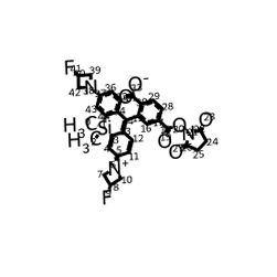 C[Si]1(C)C2=CC(=[N+]3CC(F)C3)C=CC2=C(c2cc(C(=O)ON3C(=O)CCC3=O)ccc2C(=O)[O-])c2ccc(N3CC(F)C3)cc21